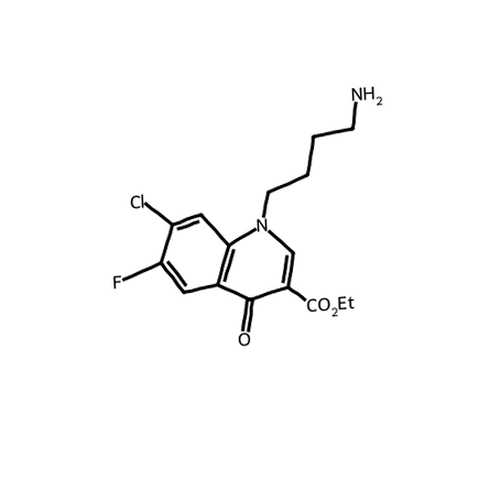 CCOC(=O)c1cn(CCCCN)c2cc(Cl)c(F)cc2c1=O